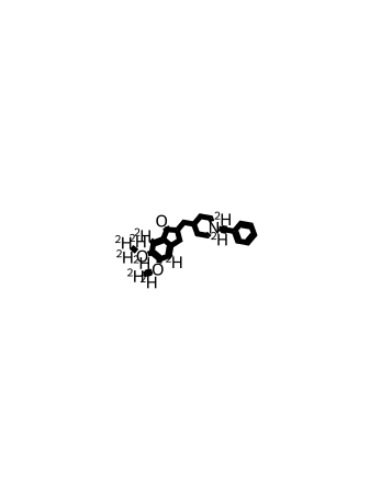 [2H]c1c2c(c([2H])c(OC([2H])([2H])[2H])c1OC([2H])([2H])[2H])C(=O)C(CC1CCN(C([2H])([2H])c3ccccc3)CC1)C2